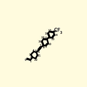 C=CC1CCC(C#Cc2ccc(-c3ccc(C(F)(F)F)cc3)cc2)CC1